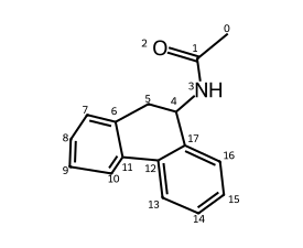 CC(=O)NC1Cc2ccccc2-c2ccccc21